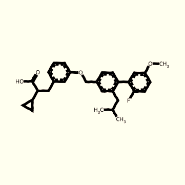 COc1ccc(F)c(-c2ccc(COc3cccc(CC(C(=O)O)C4CC4)c3)cc2CC(C)C)c1